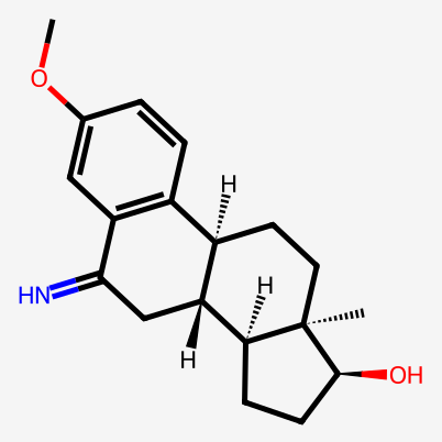 COc1ccc2c(c1)C(=N)C[C@@H]1[C@@H]2CC[C@@]2(C)[C@@H](O)CC[C@@H]12